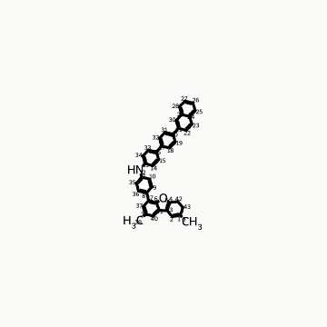 CC1=Cc2c(oc3c(-c4ccc(Nc5ccc(-c6ccc(-c7ccc8ccccc8c7)cc6)cc5)cc4)cc(C)cc23)CC1